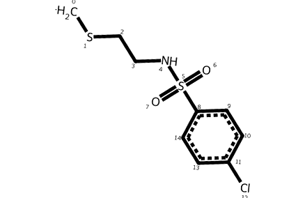 [CH2]SCCNS(=O)(=O)c1ccc(Cl)cc1